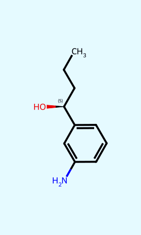 CCC[C@H](O)c1cccc(N)c1